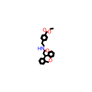 CCOC(=O)c1ccc(CCNC(=O)CC2c3ccccc3COc3ccccc32)cc1